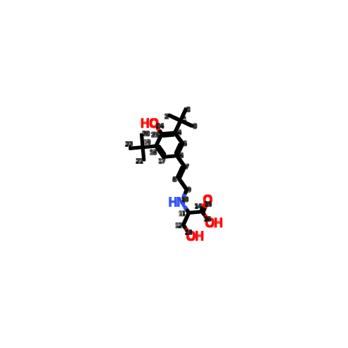 CC(C)(C)c1cc(/C=C/CNC(CO)C(=O)O)cc(C(C)(C)C)c1O